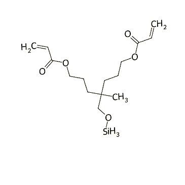 C=CC(=O)OCCCC(C)(CCCOC(=O)C=C)CO[SiH3]